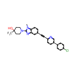 Cn1c(N2CCC(O)(C(F)(F)F)CC2)nc2cc(C#Cc3ccc(-c4ccc(Cl)cc4)cn3)ccc21